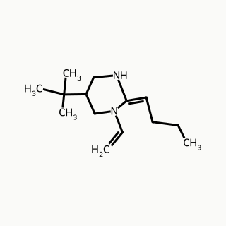 C=CN1CC(C(C)(C)C)CN/C1=C/CCC